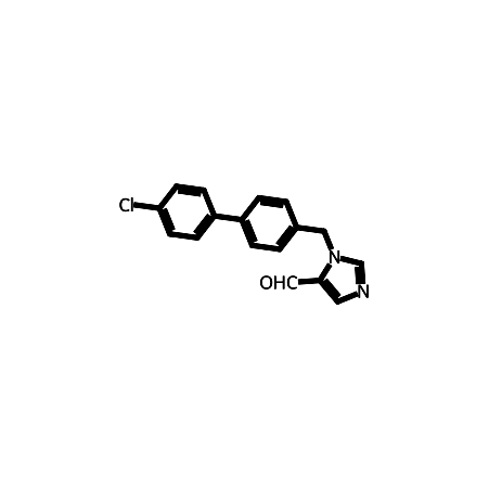 O=Cc1cncn1Cc1ccc(-c2ccc(Cl)cc2)cc1